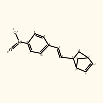 O=[N+]([O-])c1[c]cc(/C=C/C2CC3C=CC2C3)cc1